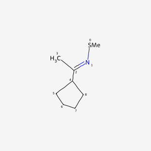 CS/N=C(\C)C1CCCC1